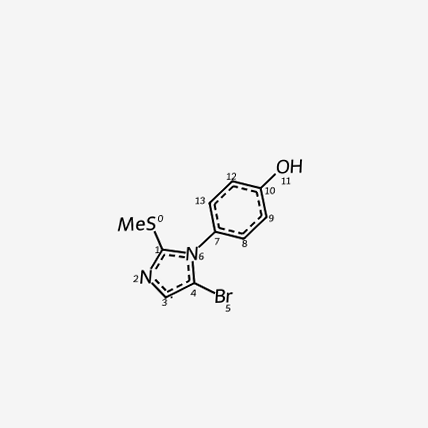 CSc1n[c]c(Br)n1-c1ccc(O)cc1